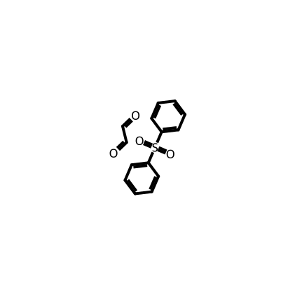 O=CC=O.O=S(=O)(c1ccccc1)c1ccccc1